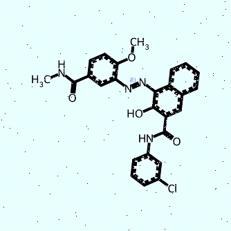 CNC(=O)c1ccc(OC)c(/N=N/c2c(O)c(C(=O)Nc3cccc(Cl)c3)cc3ccccc23)c1